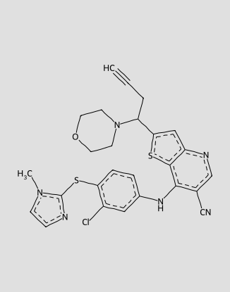 C#CCC(c1cc2ncc(C#N)c(Nc3ccc(Sc4nccn4C)c(Cl)c3)c2s1)N1CCOCC1